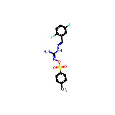 Cc1ccc(S(=O)(=O)ON=C(N)NN=Cc2cc(F)ccc2F)cc1